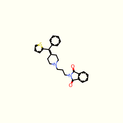 O=C1c2ccccc2C(=O)N1CCCN1CCC(=C(c2ccccc2)c2cccs2)CC1